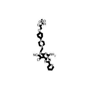 CS(=O)(=O)NC(=O)COc1ccc(N2CCN(CCn3c(C#N)c(Cl)c4c3nc(N)n3nc(-c5ccccn5)nc43)CC2)cc1